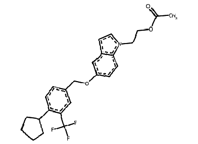 CC(=O)OCCn1ccc2cc(OCc3ccc(C4CCCC4)c(C(F)(F)F)c3)ccc21